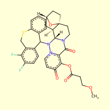 COCCC(=O)Oc1c2n(ccc1=O)N(C1c3ccccc3SCc3c1ccc(F)c3F)[C@@H]1[C@H]3C[C@@H]4CC[C@@]3(CCN1C2=O)O4